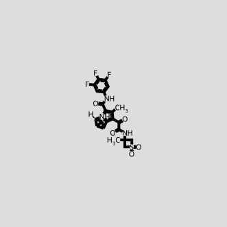 Cc1c(C(=O)C(=O)NC2(C)CS(=O)(=O)C2)c2n(c1C(=O)Nc1cc(F)c(F)c(F)c1)[C@@H]1C3C2[C@@H]31